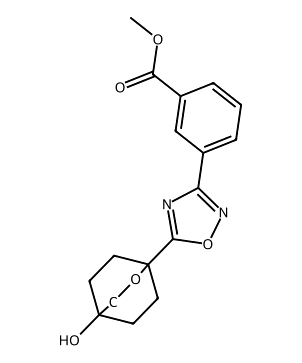 COC(=O)c1cccc(-c2noc(C34CCC(O)(CC3)CO4)n2)c1